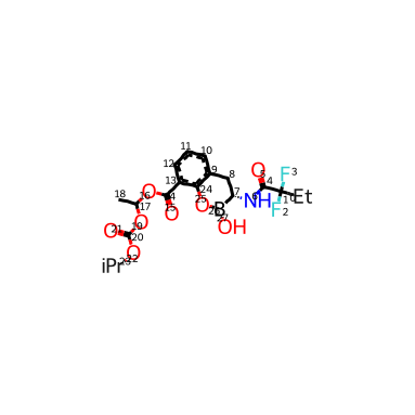 CCC(F)(F)C(=O)N[C@H]1Cc2cccc(C(=O)OC(C)OC(=O)OC(C)C)c2OB1O